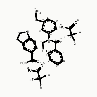 NC(=O)c1ccc2c(c1)CCN2.NCc1cccc(N(CC(=O)O)C(=O)c2ccccc2)c1.O=C(O)C(F)(F)F.O=C(O)C(F)(F)F